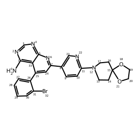 Nc1ncnc2nc(-c3ccc(N4CCC5(CC4)OCCO5)nc3)cc(-c3ccccc3Br)c12